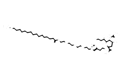 CSCCCCCCCCCCCCCCCC(=O)NCCOCCOCCOCCn1cc(CCO[C@]2(C(=O)O)C[C@H](O)[C@@H](NC(C)=O)[C@H]([C@H](O)[C@H](O)CO)O2)nn1